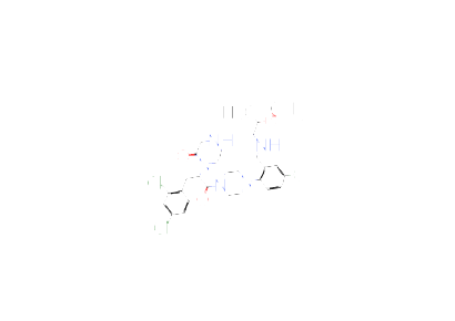 COC(C)CNCc1cc(Cl)ccc1N1CCN(C(=O)C(Cc2ccc(Cl)cc2Cl)N2CCNCC2=O)CC1